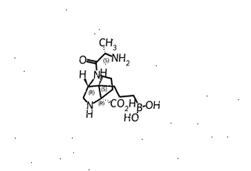 C[C@H](N)C(=O)N1CC[C@@]2(C(=O)O)NC[C@H]1[C@@H]2CCCB(O)O